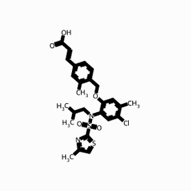 Cc1csc(S(=O)(=O)N(CC(C)C)c2cc(Cl)c(C)cc2OCc2ccc(/C=C/C(=O)O)cc2C)n1